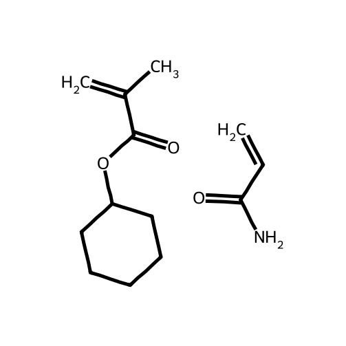 C=C(C)C(=O)OC1CCCCC1.C=CC(N)=O